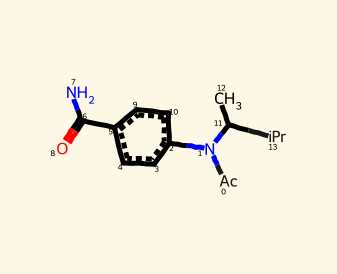 CC(=O)N(c1ccc(C(N)=O)cc1)C(C)C(C)C